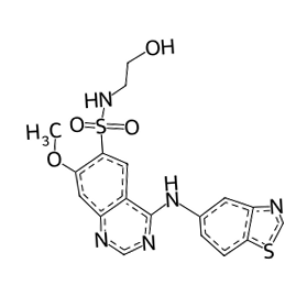 COc1cc2ncnc(Nc3ccc4scnc4c3)c2cc1S(=O)(=O)NCCO